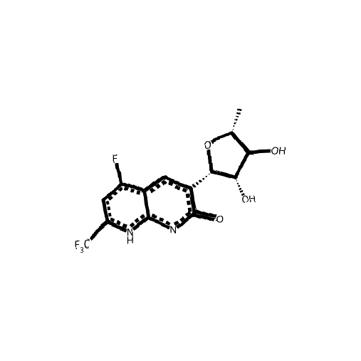 C[C@H]1O[C@@H](c2cc3c(F)cc(C(F)(F)F)[nH]c-3nc2=O)[C@@H](O)C1O